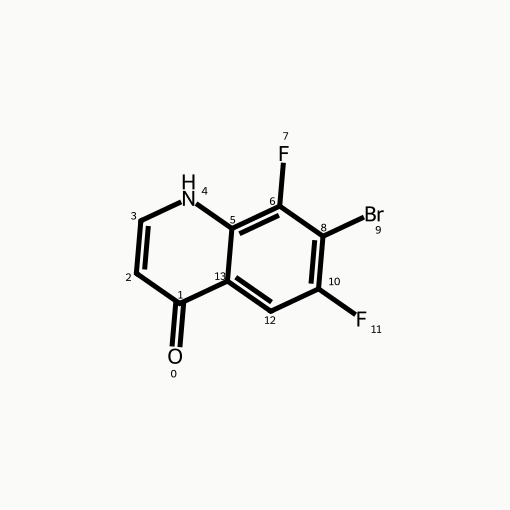 O=c1cc[nH]c2c(F)c(Br)c(F)cc12